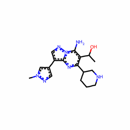 CC(O)c1c(C2CCCNC2)nc2c(-c3cnn(C)c3)cnn2c1N